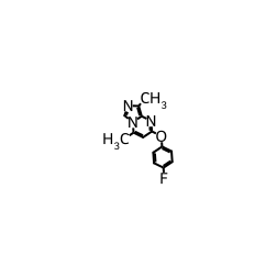 Cc1ncn2c(C)cc(Oc3ccc(F)cc3)nc12